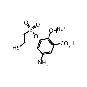 Nc1ccc(O)c(C(=O)O)c1.O=S(=O)([O-])CCS.[Na+]